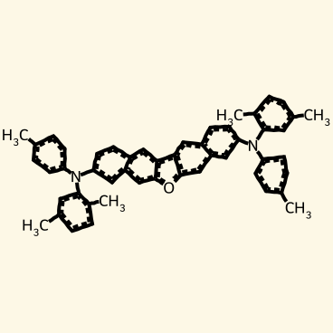 Cc1ccc(N(c2ccc3cc4c(cc3c2)oc2cc3cc(N(c5ccc(C)cc5)c5cc(C)ccc5C)ccc3cc24)c2cc(C)ccc2C)cc1